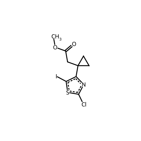 COC(=O)CC1(c2nc(Cl)sc2I)CC1